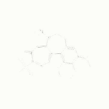 COc1cc2c(c(OC)c1OC)-c1ccc(S(C)(=O)=O)c(=O)cc1C(N)CC2